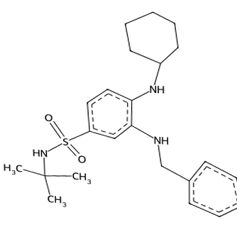 CC(C)(C)NS(=O)(=O)c1ccc(NC2CCCCC2)c(NCc2ccccc2)c1